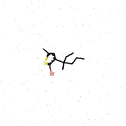 CCCC(C)(CC)c1cc(C)sc1Br